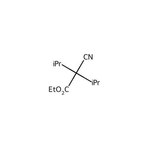 CCOC(=O)C(C#N)(C(C)C)C(C)C